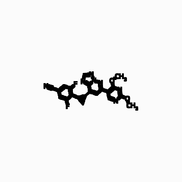 COc1ncc(-c2cc([C@H]3CC3c3c(F)cc(C#N)cc3F)c3ncnn3n2)c(OC)n1